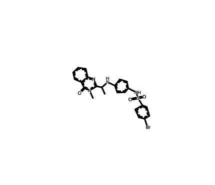 CC(Nc1ccc(NS(=O)(=O)c2ccc(Br)cc2)cc1)c1nc2ccccc2c(=O)n1C